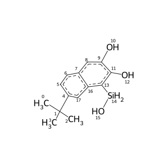 CC(C)(C)c1ccc2cc(O)c(O)c([SiH2]O)c2c1